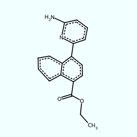 CCOC(=O)c1ccc(-c2cccc(N)n2)c2ccccc12